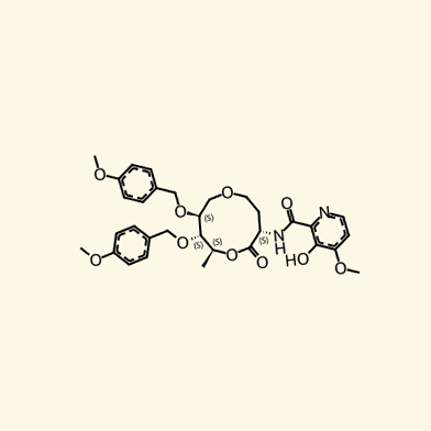 COc1ccc(CO[C@H]2[C@H](C)OC(=O)[C@@H](NC(=O)c3nccc(OC)c3O)CCOC[C@@H]2OCc2ccc(OC)cc2)cc1